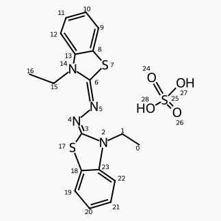 CCn1c(=NN=c2sc3ccccc3n2CC)sc2ccccc21.O=S(=O)(O)O